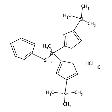 C[Si](C)(C)C1=CC[C]([Zr]([CH3])([SiH2]c2ccccc2)[C]2=CC([Si](C)(C)C)=CC2)=C1.Cl.Cl